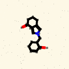 O=C1CCCc2cn(CC3CCC=CC3=O)cc21